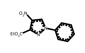 CCOC(=O)c1nn(-c2ccccc2)cc1[N+](=O)[O-]